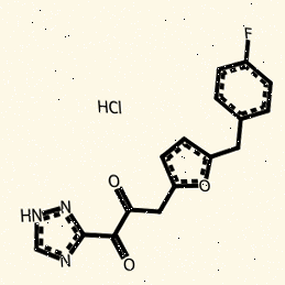 Cl.O=C(Cc1ccc(Cc2ccc(F)cc2)o1)C(=O)c1nc[nH]n1